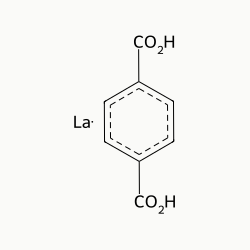 O=C(O)c1ccc(C(=O)O)cc1.[La]